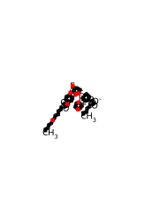 CCCCCCCCCCCCS(=O)(=O)[O-].CCCCCCS(=O)(=O)[O-].Fc1ccccc1[I+]c1ccccc1F.Fc1ccccc1[I+]c1ccccc1F